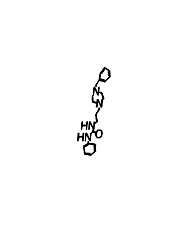 O=C(NCCCN1CCN(Cc2ccccc2)CC1)Nc1ccccc1